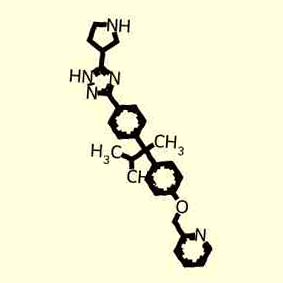 CC(C)C(C)(c1ccc(OCc2ccccn2)cc1)c1ccc(-c2n[nH]c(C3CCNC3)n2)cc1